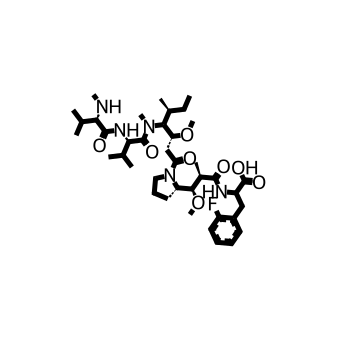 CC[C@H](C)C([C@@H](CC(=O)N1CCC[C@H]1[C@H](OC)[C@@H](C)C(=O)NC(Cc1ccccc1F)C(=O)O)OC)N(C)C(=O)[C@@H](NC(=O)[C@@H](NC)C(C)C)C(C)C